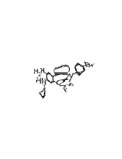 Nc1cc(C(=O)Nc2ccc(Br)cc2)c(OCC(F)F)cc1NC1CC1